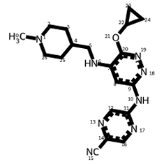 CN1CCC(CNc2cc(Nc3cnc(C#N)cn3)nnc2OC2CC2)CC1